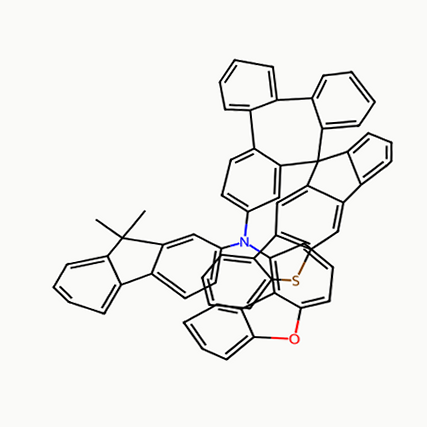 CC1(C)c2ccccc2-c2ccc(N(c3ccc4c(c3)C3(c5ccccc5-c5ccccc5-4)c4ccccc4-c4cc5sc6ccccc6c5cc43)c3cccc4oc5ccccc5c34)cc21